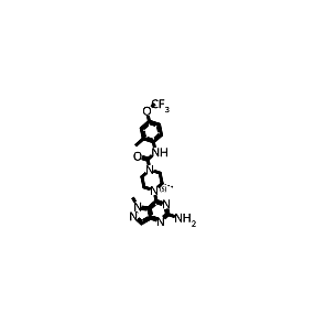 Cc1cc(OC(F)(F)F)ccc1NC(=O)N1CCN(c2nc(N)nc3cnn(C)c23)[C@@H](C)C1